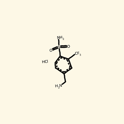 Cl.NCc1ccc(S(N)(=O)=O)c(C(F)(F)F)c1